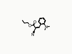 CCCOC(=O)C(C#N)=Cc1ccccc1N(C)C